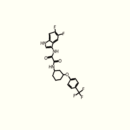 O=C(Nc1c[nH]c2cc(F)c(F)cc12)C(=O)NC1CCCC(Oc2ccc(C(F)(F)F)cc2)C1